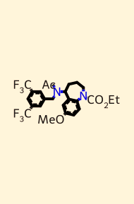 CCOC(=O)N1CCCC(N(Cc2cc(C(F)(F)F)cc(C(F)(F)F)c2)C(C)=O)c2cc(OC)ccc21